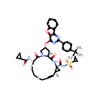 CC(C)(C)c1ccc(-c2nc(O[C@@H]3C[C@H]4C(=O)N[C@]5(C(=O)NS(=O)(=O)C6CC6)C[C@H]5/C=C\CCCCC[C@H](NC(=O)C5CC5)C(=O)N4C3)c3oc4ccccc4c3n2)cc1